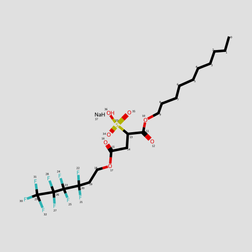 CCCCCCCCCCOC(=O)C(CC(=O)OCCC(F)(F)C(F)(F)C(F)(F)C(F)(F)F)S(=O)(=O)O.[NaH]